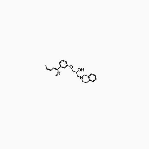 C=N/C(=C\C=C/C)c1cccc(OCC(O)CN2CCc3ccccc3C2)c1